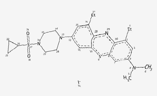 CCc1cc(N(C)C)cc2[s+]c3cc(N4CCN(S(=O)(=O)C5CC5)CC4)cc(CC)c3nc12.[I-]